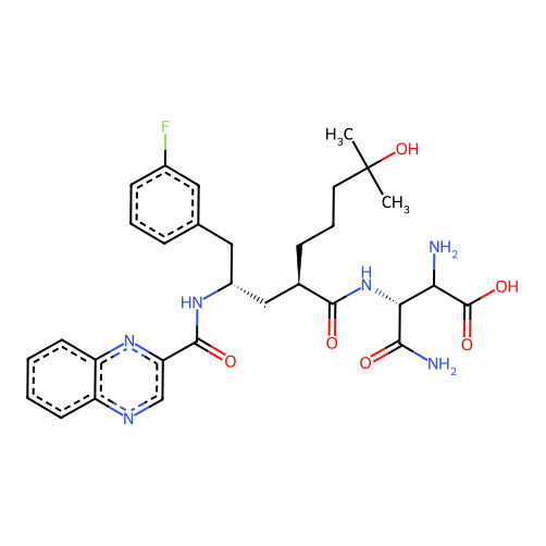 CC(C)(O)CCC[C@H]([CH][C@@H](Cc1cccc(F)c1)NC(=O)c1cnc2ccccc2n1)C(=O)N[C@@H](C(N)=O)C(N)C(=O)O